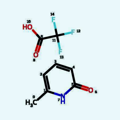 Cc1cccc(=O)[nH]1.O=C(O)C(F)(F)F